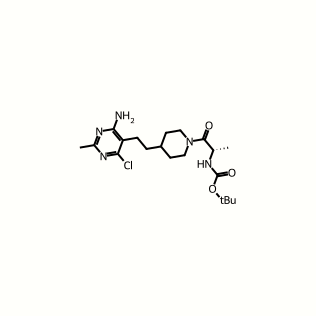 Cc1nc(N)c(CCC2CCN(C(=O)[C@H](C)NC(=O)OC(C)(C)C)CC2)c(Cl)n1